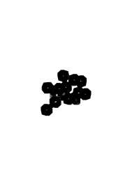 C1=CC(N(c2ccc3oc4c5ccccc5c(-c5cccc6ccccc56)cc4c3c2-c2ccc(-c3ccccc3)cc2)c2cccc3c2sc2ccccc23)CC=C1c1ccccc1